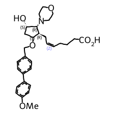 COc1ccc(-c2ccc(CO[C@H]3C[C@H](O)[C@H](N4CCOCC4)[C@H]3C/C=C\CCCC(=O)O)cc2)cc1